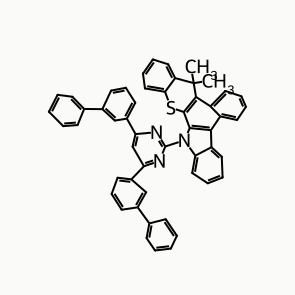 CC1(C)c2ccccc2Sc2c1c1ccccc1c1c3ccccc3n(-c3nc(-c4cccc(-c5ccccc5)c4)cc(-c4cccc(-c5ccccc5)c4)n3)c21